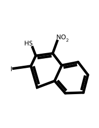 O=[N+]([O-])c1c(S)c(I)cc2ccccc12